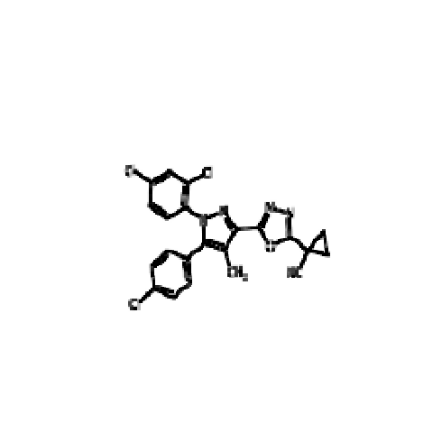 Cc1c(-c2nnc(C3(C#N)CC3)o2)nn(-c2ccc(Cl)cc2Cl)c1-c1ccc(Cl)cc1